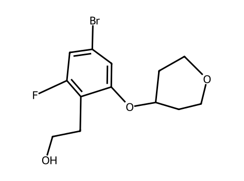 OCCc1c(F)cc(Br)cc1OC1CCOCC1